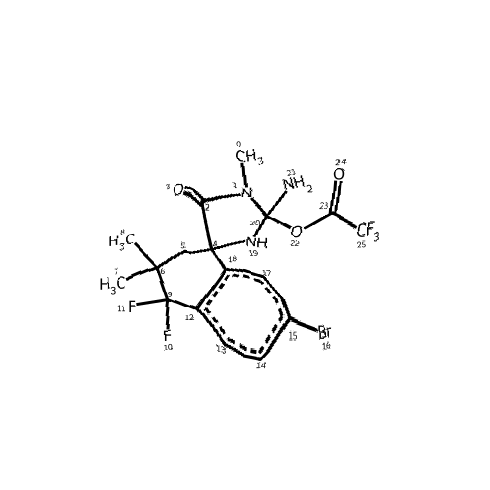 CN1C(=O)C2(CC(C)(C)C(F)(F)c3ccc(Br)cc32)NC1(N)OC(=O)C(F)(F)F